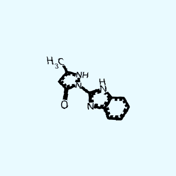 Cc1cc(=O)n(-c2nc3ccccc3[nH]2)[nH]1